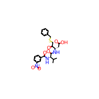 CC(C)[C@H](NC(=O)c1cccc([N+](=O)[O-])c1)C(=O)N[C@@H](CC(=O)O)C(=O)CSCc1ccccc1